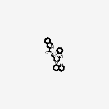 O=C(NCCCN(Cc1nc2ccccc2[nH]1)C1CCCc2cccnc21)c1cc2ccccc2cn1